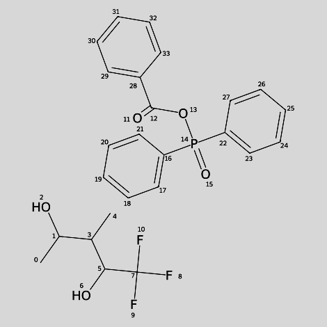 CC(O)C(C)C(O)C(F)(F)F.O=C(OP(=O)(c1ccccc1)c1ccccc1)c1ccccc1